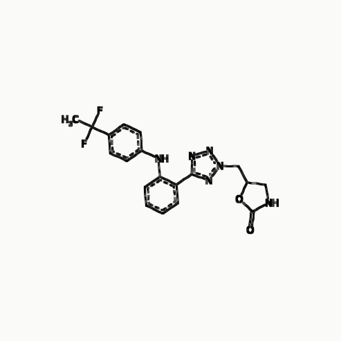 CC(F)(F)c1ccc(Nc2ccccc2-c2nnn(CC3CNC(=O)O3)n2)cc1